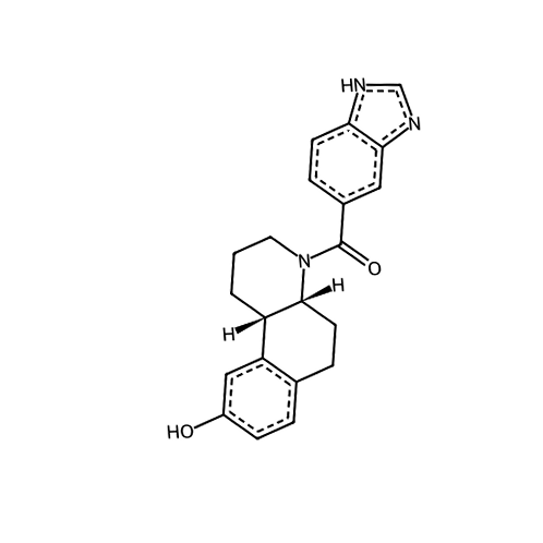 O=C(c1ccc2[nH]cnc2c1)N1CCC[C@H]2c3cc(O)ccc3CC[C@H]21